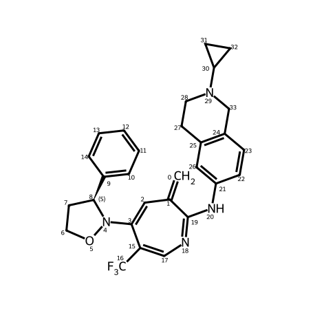 C=C1C=C(N2OCC[C@H]2c2ccccc2)C(C(F)(F)F)=CN=C1Nc1ccc2c(c1)CCN(C1CC1)C2